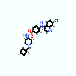 O=S(=O)(NC1CCN(Cc2ccccc2)CC1)c1ccc(Nc2ccnc3cc(Cl)ccc23)cc1